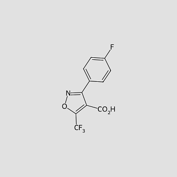 O=C(O)c1c(-c2ccc(F)cc2)noc1C(F)(F)F